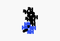 [2H]c1cc([2H])c(C([2H])([2H])C([2H])NC(=N)NC(C)=N)cc1[2H]